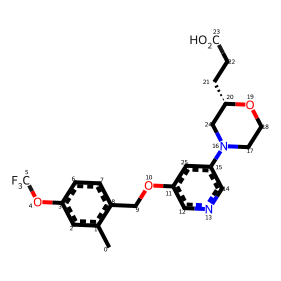 Cc1cc(OC(F)(F)F)ccc1COc1cncc(N2CCO[C@@H](CCC(=O)O)C2)c1